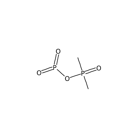 CP(C)(=O)OP(=O)=O